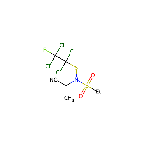 CCS(=O)(=O)N(SC(Cl)(Cl)C(F)(Cl)Cl)C(C)C#N